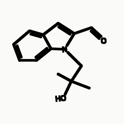 CC(C)(O)Cn1c(C=O)cc2ccccc21